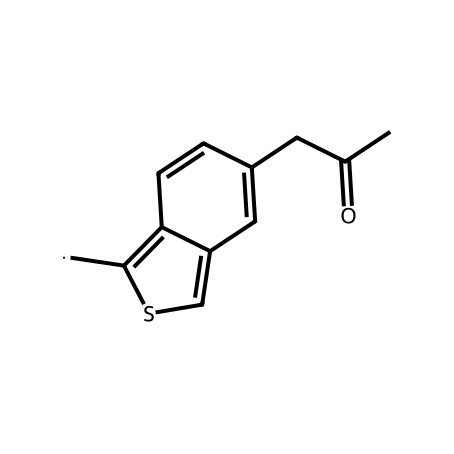 [CH2]c1scc2cc(CC(C)=O)ccc12